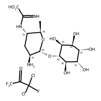 C[C@H]1O[C@H](O[C@H]2[C@H](O)[C@@H](O)[C@@H](O)[C@H](O)[C@@H]2O)[C@@H](N)C[C@@H]1NC(=N)C(=O)O.O=C(C(F)(F)F)C(F)(Cl)Cl